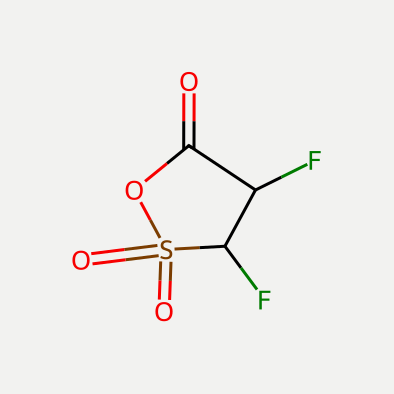 O=C1OS(=O)(=O)C(F)C1F